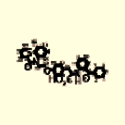 O=C(c1ccccc1)c1ccccc1NC(Cc1ccc(OCCN(C(=O)c2cccs2)c2cccc(F)c2)cc1)C(=O)O